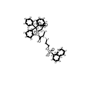 O=C(O)[C@@H](CCCOS(=O)(=O)c1cccc2cccnc12)C[C@H](NC(c1ccccc1)(c1ccccc1)c1ccccc1)C(=O)O